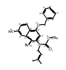 CC(C)=CCN(C(=O)OC(C)(C)C)c1cc(OCc2ccccc2)c2ccc(C#N)cc2c1Br